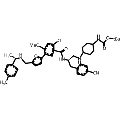 COc1cc(Cl)c(C(=O)N[C@@H](CNC2CCC(NC(=O)OC(C)(C)C)CC2)Cc2ccc(C#N)cc2)cc1-c1ccc(CN[C@H](C)c2ccc(C)cc2)o1